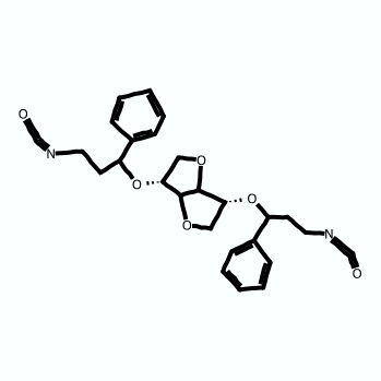 O=C=NCCC(O[C@@H]1COC2C1OC[C@H]2OC(CCN=C=O)c1ccccc1)c1ccccc1